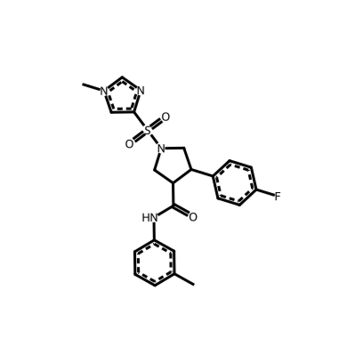 Cc1cccc(NC(=O)C2CN(S(=O)(=O)c3cn(C)cn3)CC2c2ccc(F)cc2)c1